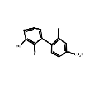 Cc1cc(C(=O)O)ccc1-c1cccc(O)c1F